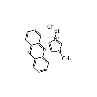 CC[n+]1ccn(C)c1.[Cl-].c1ccc2nc3ccccc3nc2c1